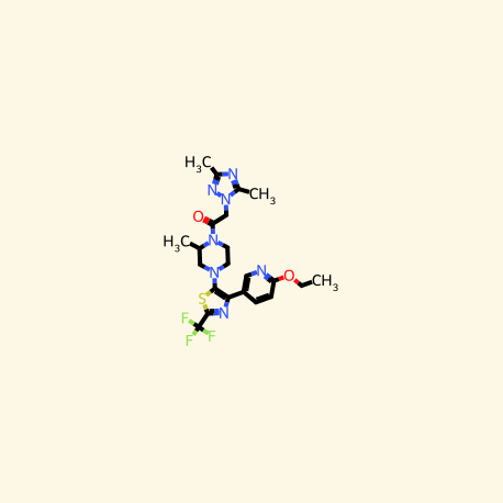 CCOc1ccc(-c2nc(C(F)(F)F)sc2N2CCN(C(=O)Cn3nc(C)nc3C)C(C)C2)cn1